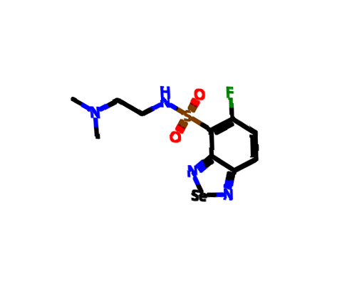 CN(C)CCNS(=O)(=O)c1c(F)ccc2n[se]nc12